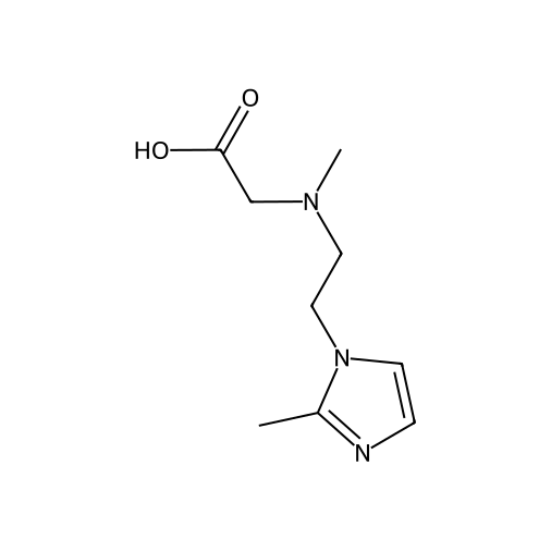 Cc1nccn1CCN(C)CC(=O)O